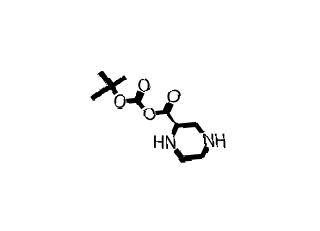 CC(C)(C)OC(=O)OC(=O)[C@H]1CNCCN1